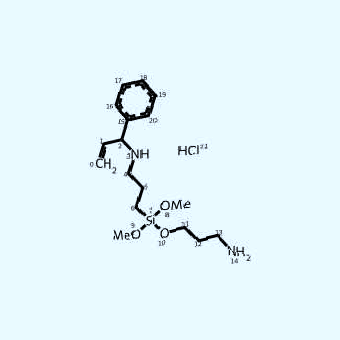 C=CC(NCCC[Si](OC)(OC)OCCCN)c1ccccc1.Cl